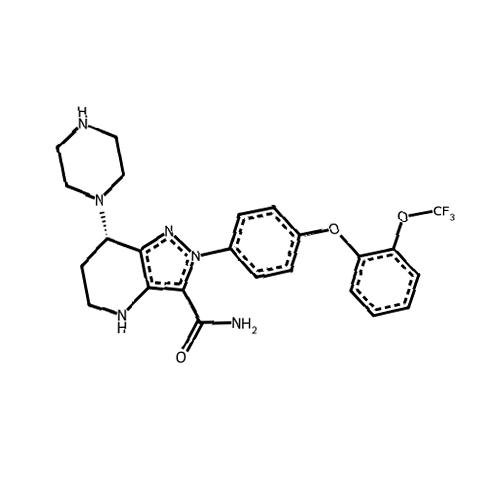 NC(=O)c1c2c(nn1-c1ccc(Oc3ccccc3OC(F)(F)F)cc1)[C@@H](N1CCNCC1)CCN2